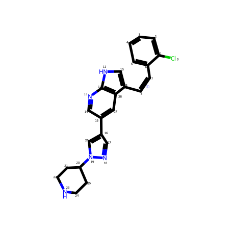 Clc1ccccc1/C=C\c1c[nH]c2ncc(-c3cnn(C4CCNCC4)c3)cc12